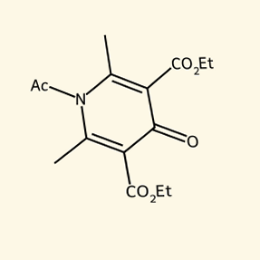 CCOC(=O)c1c(C)n(C(C)=O)c(C)c(C(=O)OCC)c1=O